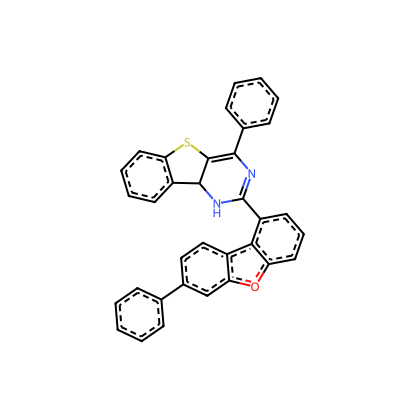 c1ccc(C2=C3Sc4ccccc4C3NC(c3cccc4oc5cc(-c6ccccc6)ccc5c34)=N2)cc1